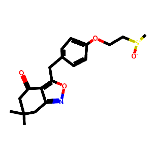 C[S+]([O-])CCOc1ccc(Cc2onc3c2C(=O)CC(C)(C)C3)cc1